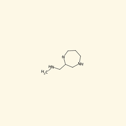 CNCC1CNCCC[N]1